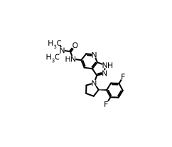 CN(C)C(=O)Nc1cnc2[nH]nc(N3CCC[C@@H]3c3cc(F)ccc3F)c2c1